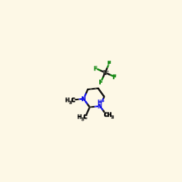 CC1N(C)CCC[NH+]1C.F[B-](F)(F)F